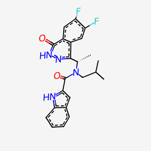 CC(C)CN(C(=O)c1cc2ccccc2[nH]1)[C@@H](C)c1n[nH]c(=O)c2cc(F)c(F)cc12